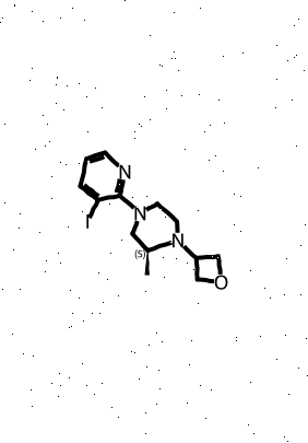 C[C@H]1CN(c2ncccc2I)CCN1C1COC1